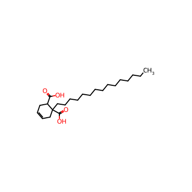 CCCCCCCCCCCCCCCC1(C(=O)O)CC=CCC1C(=O)O